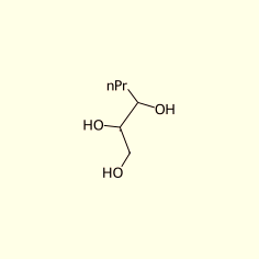 CCCC(O)[C](O)CO